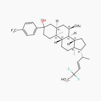 CC(=O)O[C@@H]1C[C@@H]2CC(O)(c3ccc(C(F)(F)F)cc3)CC[C@]2(C)[C@H]2CC[C@]3(C)[C@@H](C(C)C=CC(F)(F)C(=O)O)CC[C@H]3[C@H]12